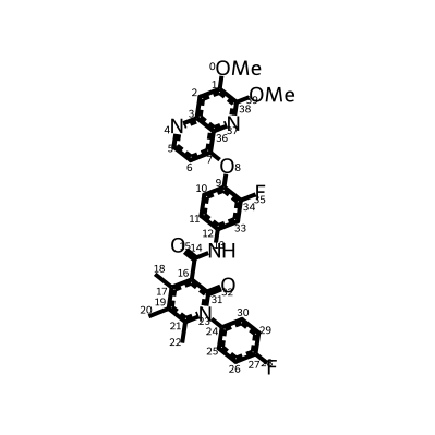 COc1cc2nccc(Oc3ccc(NC(=O)c4c(C)c(C)c(C)n(-c5ccc(F)cc5)c4=O)cc3F)c2nc1OC